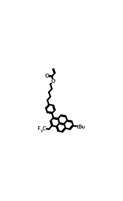 C=CC(=O)OCCCCCc1ccc(-c2cc(CC(F)(F)F)c3ccc4cc(C(C)(C)C)cc5ccc2c3c45)cc1